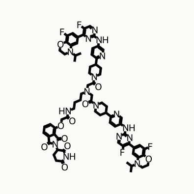 CC(C)N1CCOc2c(F)cc(-c3nc(Nc4ccc(C5CCN(C(=O)CN(CCCCNC(=O)COc6cccc7c6C(=O)N(C6CCC(=O)NC6=O)C7=O)CC(=O)N6CCC(c7ccc(Nc8ncc(F)c(-c9cc(F)c%10c(c9)N(C(C)C)CCO%10)n8)cn7)CC6)CC5)nc4)ncc3F)cc21